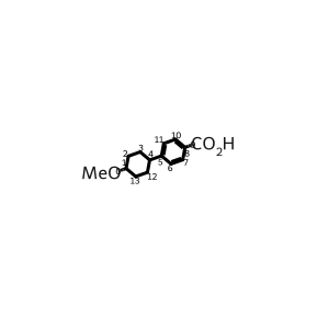 COC1CCC(c2ccc(C(=O)O)cc2)CC1